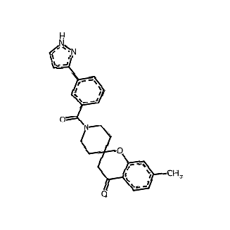 Cc1ccc2c(c1)OC1(CCN(C(=O)c3cccc(-c4cc[nH]n4)c3)CC1)CC2=O